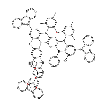 Cc1cc(C)c(N2c3cc4c(cc3B3c5ccccc5Oc5cc(-n6c7ccccc7c7ccccc76)cc2c53)B2c3cc5c(cc3Oc3cc(-n6c7ccccc7c7ccccc76)cc(c32)N4c2c(C)cc(C)cc2C)Nc2cc(-n3c4ccccc4c4ccccc43)cc3c2B5c2ccccc2N3c2ccccc2)c(C)c1